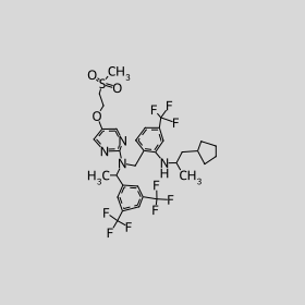 CC(CC1CCCC1)Nc1cc(C(F)(F)F)ccc1CN(c1ncc(OCCS(C)(=O)=O)cn1)C(C)c1cc(C(F)(F)F)cc(C(F)(F)F)c1